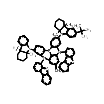 Cc1cc2c3c(c1)N(c1cccc4sc5ccccc5c14)c1cc(N4c5ccc(C(C)(C)C)cc5C5(C)CCCCC45C)ccc1B3c1ccc(N3c4ccccc4C4(C)CCCCC34C)cc1N2c1cccc2c1sc1ccccc12